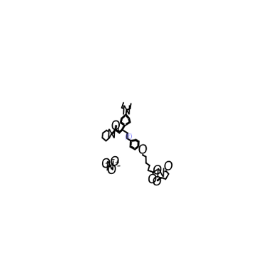 CCN(CC)c1ccc2c(/C=C/c3ccc(OCCCCCC(=O)ON4C(=O)CCC4=O)cc3)cc(=[N+]3CCCCC3)oc2c1.O=[N+]([O-])[O-]